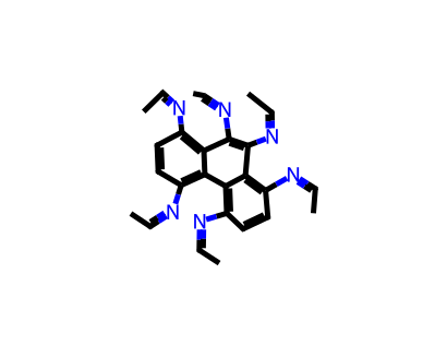 C/C=N\c1ccc(/N=C\C)c2c1c(/N=C\C)c(/N=C\C)c1c(/N=C\C)ccc(/N=C\C)c12